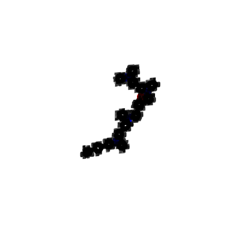 c1ccc(-c2ccc(-c3ccc(-n4c5ccccc5c5cc(-c6ccc7c(c6)c6ccccc6n7-c6cccc(-c7ccc8oc9c(-n%10c%11ccccc%11c%11cc(-c%12ccc%13c(c%12)c%12ccccc%12n%13-c%12ccccc%12)ccc%11%10)cccc9c8c7)c6)ccc54)cc3)cc2)cc1